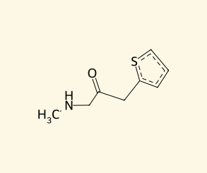 CNCC(=O)Cc1cccs1